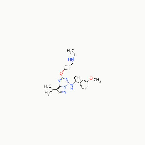 CCNC[C@H]1C[C@@H](Oc2nc(N[C@@H](C)c3cccc(OC)c3)n3ncc(C(C)C)c3n2)C1